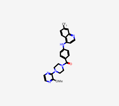 COc1nccnc1N1CCN(C(=O)c2ccc(Nc3ccnc4cc(C(F)(F)F)ccc34)cc2)CC1